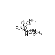 CS(=O)(=O)c1ccc(Nc2cc(-c3cnc(N)cc3C(F)(F)F)nc(N3CCOCC3)n2)cn1